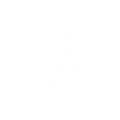 COc1ccc2c(NCc3ccc(CS(N)(=O)=O)cc3)c(C(=O)O)cnc2n1